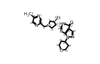 CC[C@@H]1CN(Cc2cnc(C)cn2)C[C@H]1c1nc2c(cnn2C2CCOCC2)c(=O)[nH]1